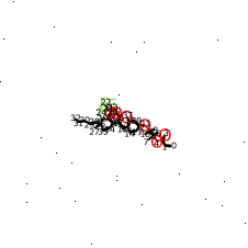 C=CC(=O)OC(C)(C)C(C)(C)Oc1ccc2cc(C3=C(OC(F)(F)F)CC(C)(/C=C/CCC)C=C3)c(=O)oc2c1